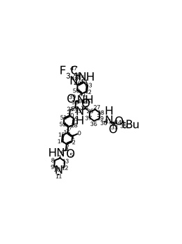 Cc1cc(C(=O)NC2CCN(C)CC2)ccc1-c1ccc(C[C@H](NC(=O)[C@H]2CC[C@H](CNC(=O)OC(C)(C)C)CC2)C(=O)Nc2ccc3[nH]c(C(F)(F)F)nc3c2)cc1